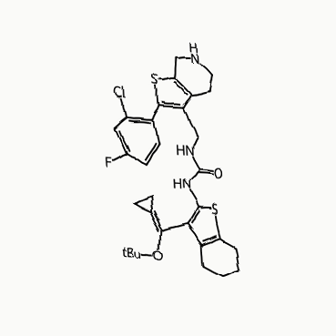 CC(C)(C)OC(=C1CC1)c1c(NC(=O)NCc2c(-c3ccc(F)cc3Cl)sc3c2CCNC3)sc2c1CCCC2